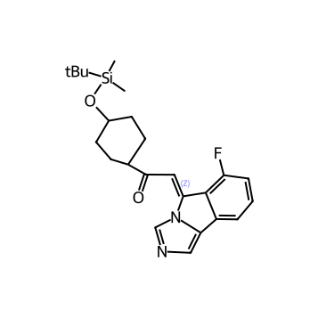 CC(C)(C)[Si](C)(C)OC1CCC(C(=O)/C=c2/c3c(F)cccc3c3cncn23)CC1